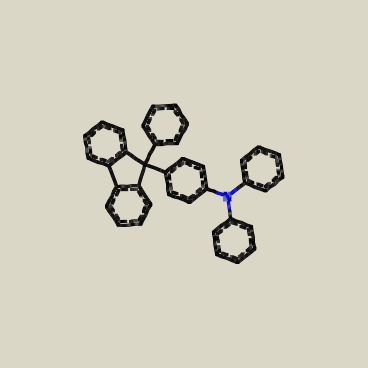 c1ccc(N(c2ccccc2)c2ccc(C3(c4ccccc4)c4ccccc4-c4ccccc43)cc2)cc1